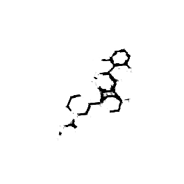 CC(C)NC(=O)N1CCC[C@H]([C@]23CC[C@H](CC2)c2cc(-c4c(F)cccc4F)nnc23)C1